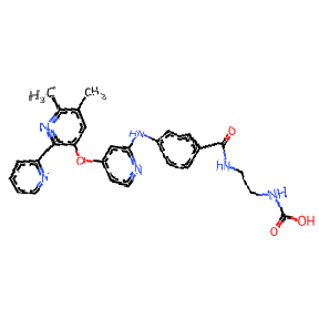 Cc1cc(Oc2ccnc(Nc3ccc(C(=O)NCCNC(=O)O)cc3)c2)c(-c2ccccn2)nc1C